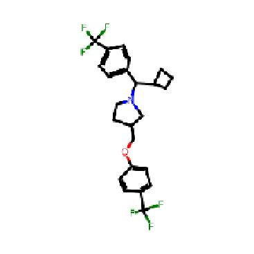 FC(F)(F)c1ccc(OCC2CCN(C(c3ccc(C(F)(F)F)cc3)C3CCC3)C2)cc1